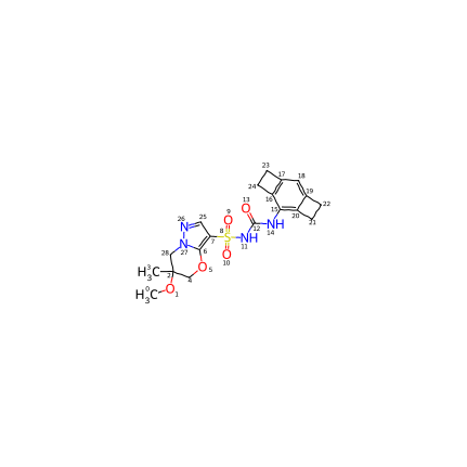 COC1(C)COc2c(S(=O)(=O)NC(=O)Nc3c4c(cc5c3CC5)CC4)cnn2C1